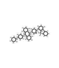 CC1(C)c2ccccc2-c2cccc(-c3ccc(-c4c5ccccc5c(-c5ccc(-c6ccccc6)cc5)c5ccccc45)cn3)c21